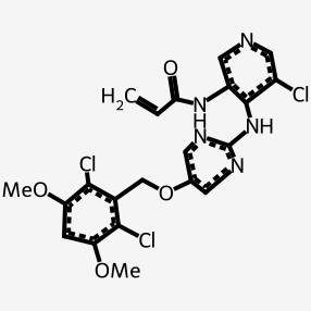 C=CC(=O)Nc1cncc(Cl)c1Nc1ncc(OCc2c(Cl)c(OC)cc(OC)c2Cl)cn1